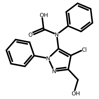 O=C(O)N(c1ccccc1)c1c(Cl)c(CO)nn1-c1ccccc1